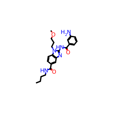 CCCCNC(=O)c1ccc2c(c1)nc(NC(=O)c1cccc(N)c1)n2CCCOC